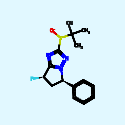 CC(C)(C#N)[S+]([O-])c1nc2n(n1)[C@H](c1ccccc1)C[C@@H]2F